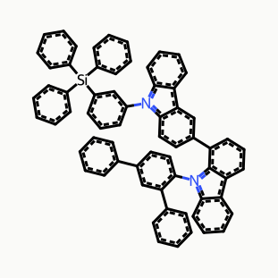 c1ccc(-c2ccc(-n3c4ccccc4c4cccc(-c5ccc6c(c5)c5ccccc5n6-c5cccc([Si](c6ccccc6)(c6ccccc6)c6ccccc6)c5)c43)c(-c3ccccc3)c2)cc1